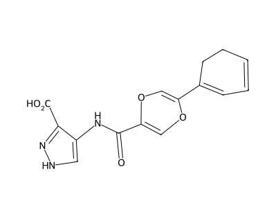 O=C(Nc1c[nH]nc1C(=O)O)C1=COC(C2=CC=CCC2)=CO1